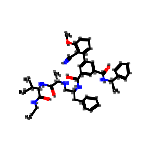 CCNC(=O)[C@@H](NC(=O)[C@H](C)NC[C@H](Cc1ccccc1)NC(=O)c1cc(C(=O)N[C@H](C)c2ccccc2)cc(-c2cccc(OC)c2C#N)c1)C(C)C